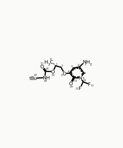 C[C@H](COc1cc(N)cn(C(F)F)c1=O)OC(=O)NC(C)(C)C